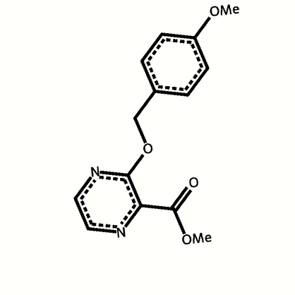 COC(=O)c1nccnc1OCc1ccc(OC)cc1